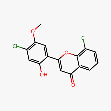 COc1cc(-c2cc(=O)c3cccc(Cl)c3o2)c(O)cc1Cl